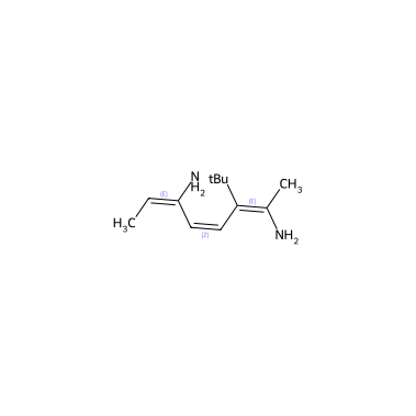 C\C=C(N)/C=C\C(=C(\C)N)C(C)(C)C